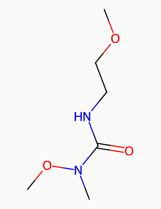 COCCNC(=O)N(C)OC